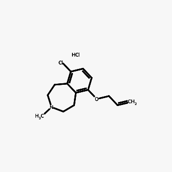 C=CCOc1ccc(Cl)c2c1CCN(C)CC2.Cl